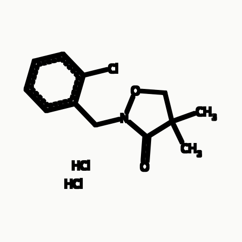 CC1(C)CON(Cc2ccccc2Cl)C1=O.Cl.Cl